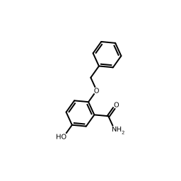 NC(=O)c1cc(O)ccc1OCc1ccccc1